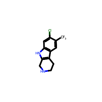 FC(F)(F)c1cc2c3c([nH]c2cc1Cl)CNCC3